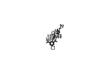 CC(C)c1cc(Cl)cc(C(C)C)c1NC(=O)NS(=N)(=O)c1nn(CCN(C)C)cc1Cl